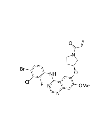 C=CC(=O)N1CC[C@H](Oc2cc3c(Nc4ccc(Br)c(Cl)c4F)ncnc3cc2OC)C1